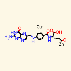 Nc1nc2ncc(CNc3ccc(C(=O)N[C@@H](CC[C](=O)[Zn])C(=O)O)cc3)nc2c(=O)[nH]1.[Cu]